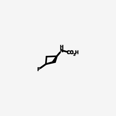 O=C(O)NC12CC(F)(C1)C2